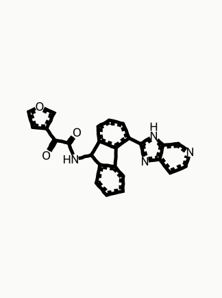 O=C(NC1c2ccccc2-c2c(-c3nc4ccncc4[nH]3)cccc21)C(=O)c1ccoc1